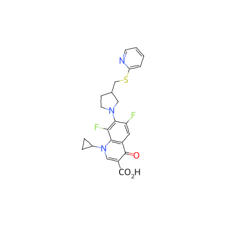 O=C(O)c1cn(C2CC2)c2c(F)c(N3CCC(CSc4ccccn4)C3)c(F)cc2c1=O